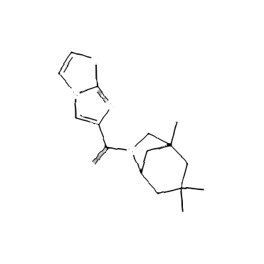 CC1(C)CC2CC(C)(CN2C(=O)c2cn3ccsc3n2)C1